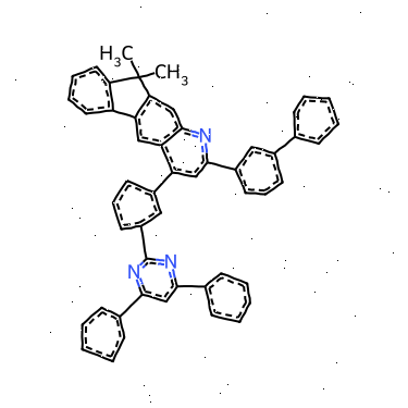 CC1(C)c2ccccc2-c2cc3c(-c4cccc(-c5nc(-c6ccccc6)cc(-c6ccccc6)n5)c4)cc(-c4cccc(-c5ccccc5)c4)nc3cc21